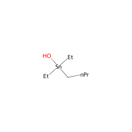 CCC[CH2][Sn]([OH])([CH2]C)[CH2]C